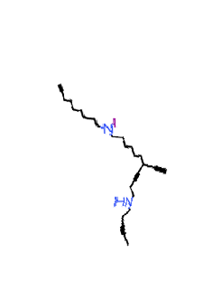 C#CCCCCCCCN(I)CCCCCCC(C#C)C#CCCNCCC#CC